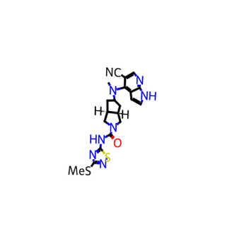 CSc1nsc(NC(=O)N2C[C@H]3CC(N(C)c4c(C#N)cnc5[nH]ccc45)C[C@H]3C2)n1